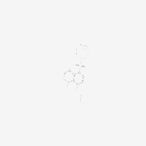 CCCOc1ccc(S(=O)(=O)N2CCCNCC2)c2ccnc(Cl)c12.Cl